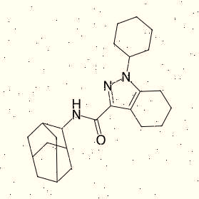 O=C(NC1C2CC3CC(C2)CC1C3)c1nn(C2CCCCC2)c2c1CCCC2